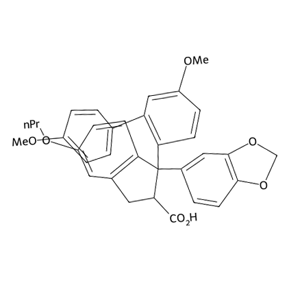 CCCOc1ccc2c(c1)CC(C(=O)O)C2(c1ccc2c(c1)OCO2)c1ccc(OC)cc1-c1ccc(OC)cc1